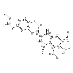 CCN(C)Cc1ccc2c(c1)CN(c1nc(=O)c3c(OC)c(OC)c(OC)cc3[nH]1)CC2